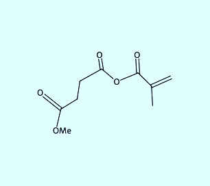 C=C(C)C(=O)OC(=O)CCC(=O)OC